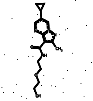 Cc1nn2cc(C3CC3)cnc2c1C(=O)NCCOCCO